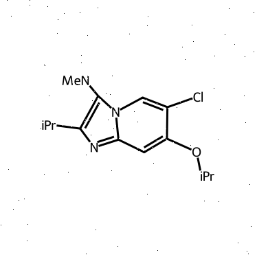 CNc1c(C(C)C)nc2cc(OC(C)C)c(Cl)cn12